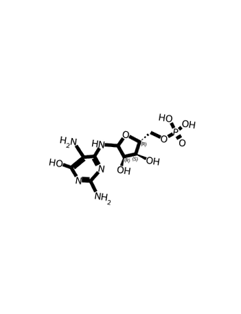 Nc1nc(O)c(N)c(NC2O[C@H](COP(=O)(O)O)[C@@H](O)[C@H]2O)n1